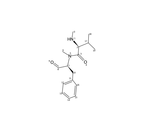 CN[C@H](C(=O)N(C)[C@H](C=O)Cc1ccccc1)C(C)C